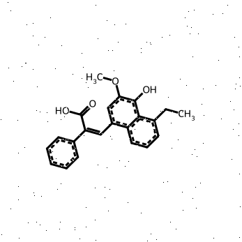 CCc1cccc2c(C=C(C(=O)O)c3ccccc3)cc(OC)c(O)c12